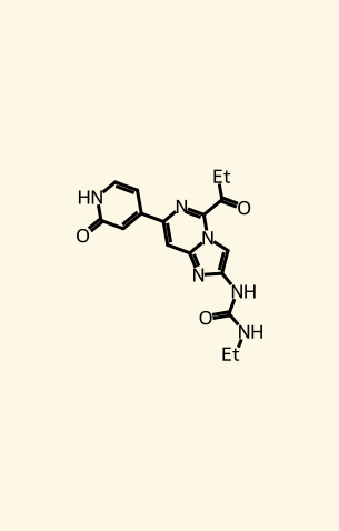 CCNC(=O)Nc1cn2c(C(=O)CC)nc(-c3cc[nH]c(=O)c3)cc2n1